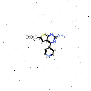 CCOC(=O)c1cc2c(-c3ccncc3)nc(N)nc2s1